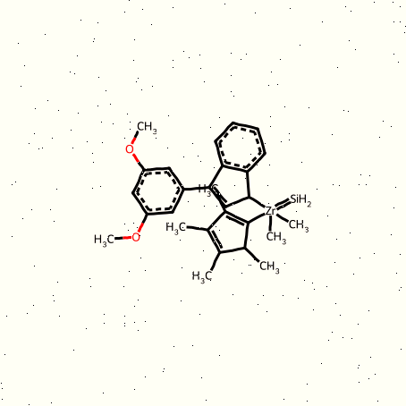 COc1cc(OC)cc(C2=C[CH]([Zr]([CH3])([CH3])(=[SiH2])[C]3=C(C)C(C)=C(C)C3C)c3ccccc32)c1